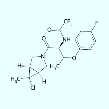 CC(Oc1ccc(F)cc1)[C@H](NC(=O)C(F)(F)F)C(=O)N1C[C@@H]2[C@H](C1)C2(C)Cl